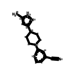 N#Cc1ccnc(N2CCC(c3cc(N)[nH]n3)CC2)c1